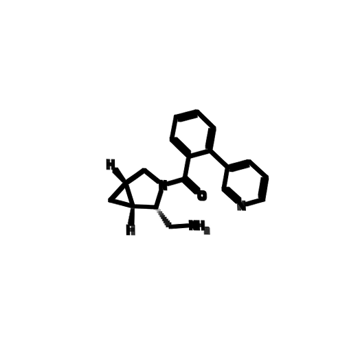 NC[C@@H]1[C@@H]2C[C@@H]2CN1C(=O)c1ccccc1-c1cccnc1